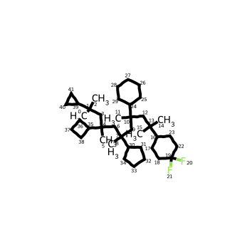 CC(C)(CC(C)(CC(C)(CC(C)(CC(C)(C)C1CCC(F)(F)CC1)C1CCCCC1)C1CCCC1)C1CCC1)C1CC1